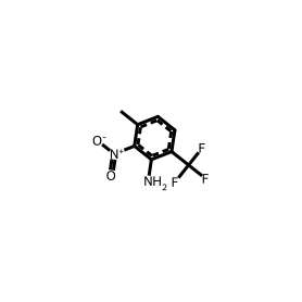 Cc1ccc(C(F)(F)F)c(N)c1[N+](=O)[O-]